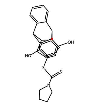 Oc1cc(SC(=S)N2CCCC2)c(O)c2c1C1c3ccccc3C2c2ccccc21